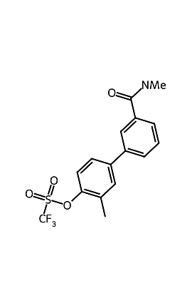 CNC(=O)c1cccc(-c2ccc(OS(=O)(=O)C(F)(F)F)c(C)c2)c1